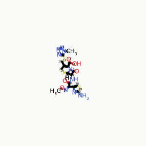 CO/N=C(\C(=O)N[C@@H]1C(=O)N2C(C(=O)O)=C(CSc3nnnn3C)CS[C@@H]12)c1csc(N)n1